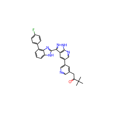 CC(C)(C)C(=O)Cc1cncc(-c2cnc3[nH]nc(-c4nc5c(-c6ccc(F)cc6)cccc5[nH]4)c3c2)c1